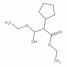 CCOC(=O)C(C1CCCC1)C(O)OCC